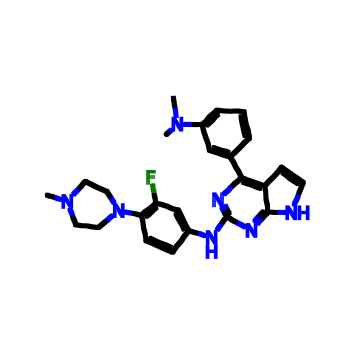 CN1CCN(c2ccc(Nc3nc(-c4cccc(N(C)C)c4)c4cc[nH]c4n3)cc2F)CC1